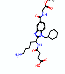 COC(=O)CNC(=O)c1ccc2c(c1)nc(C(CCCCN)NC(=O)CCC(=O)O)n2CC1CCCCC1